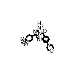 CS(=O)(=O)N1CCC(C2N=C(N)N(C(=O)c3ccc(N4CCOCC4)cc3)N2N)CC1